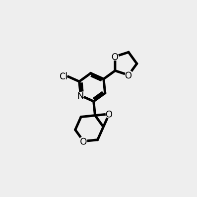 Clc1cc(C2OCCO2)cc(C23CCOCC2O3)n1